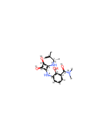 C=C(C)[C@H](C)Nc1c(Nc2cccc(C(=O)N(C)C)c2O)c(=O)c1=O